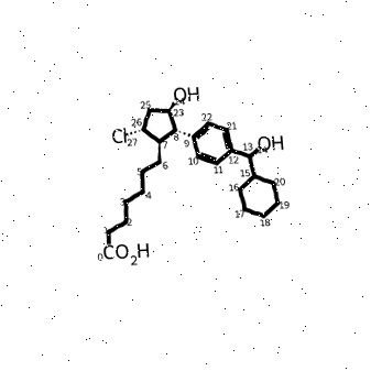 O=C(O)CCCCCC[C@@H]1[C@@H](c2ccc(C(O)C3CCCCC3)cc2)[C@H](O)C[C@H]1Cl